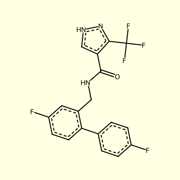 O=C(NCc1cc(F)ccc1-c1ccc(F)cc1)c1c[nH]nc1C(F)(F)F